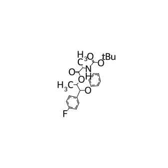 CC(OC(=O)[C@H](C)NC(=O)OC(C)(C)C)C(Oc1ccccc1)c1ccc(F)cc1